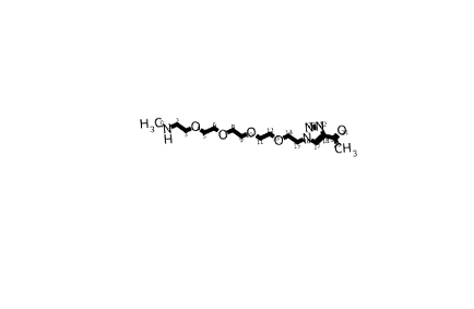 CNCCOCCOCCOCCOCCn1cc(C(C)=O)nn1